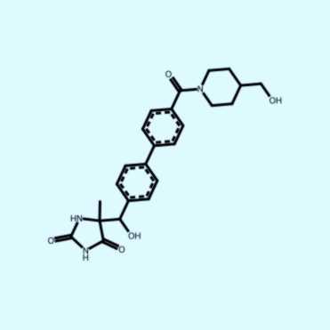 CC1(C(O)c2ccc(-c3ccc(C(=O)N4CCC(CO)CC4)cc3)cc2)NC(=O)NC1=O